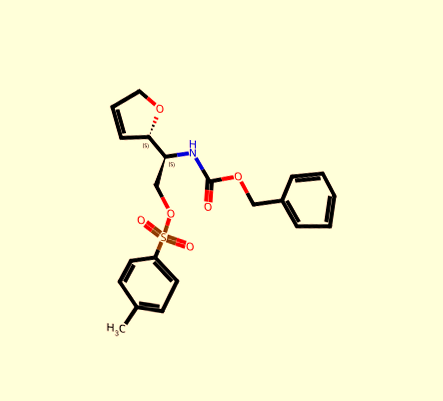 Cc1ccc(S(=O)(=O)OC[C@H](NC(=O)OCc2ccccc2)[C@@H]2C=CCO2)cc1